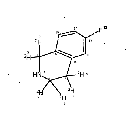 [2H]C1([2H])NC([2H])([2H])C([2H])([2H])c2cc(F)ccc21